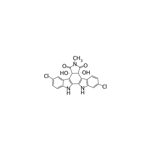 CN1C(=O)[C@@]2(O)c3c([nH]c4cc(Cl)ccc34)-c3[nH]c4ccc(Cl)cc4c3[C@@]2(O)C1=O